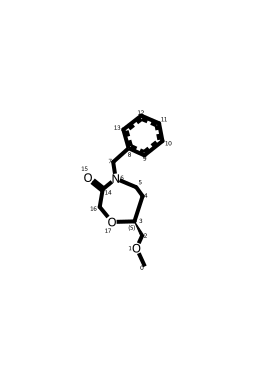 COC[C@@H]1CCN(Cc2ccccc2)C(=O)CO1